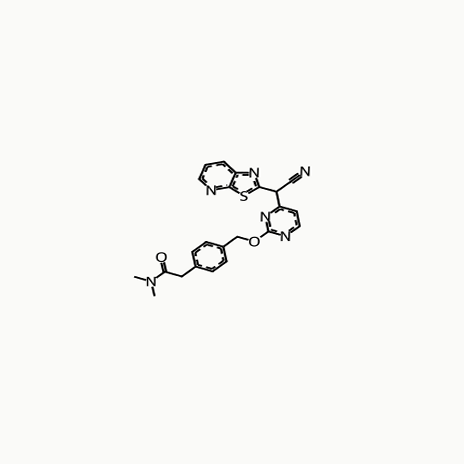 CN(C)C(=O)Cc1ccc(COc2nccc(C(C#N)c3nc4cccnc4s3)n2)cc1